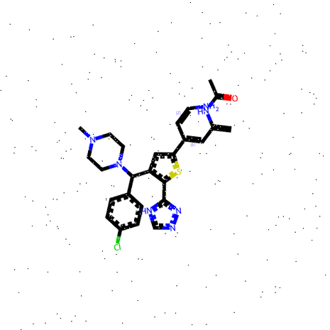 C=C(/C=C(\C=C/N)c1cc(C(c2ccc(Cl)cc2)N2CCN(C)CC2)c(-c2nnc[nH]2)s1)NC(C)=O